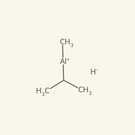 [CH3][Al+][CH](C)C.[H-]